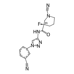 N#Cc1cccc(-n2cc(NC(=O)[C@@]3(F)CCCN(C#N)C3)nn2)c1